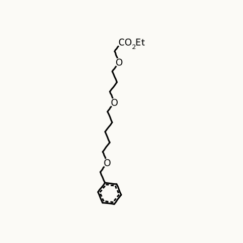 CCOC(=O)COCCCOCCCCCOCc1ccccc1